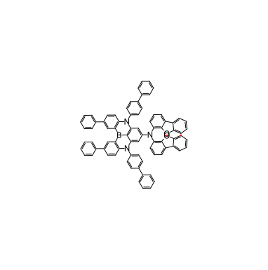 c1ccc(-c2ccc(N3c4ccc(-c5ccccc5)cc4B4c5cc(-c6ccccc6)ccc5N(c5ccc(-c6ccccc6)cc5)c5cc(N(c6cccc7c6oc6ccccc67)c6cccc7c6oc6ccccc67)cc3c54)cc2)cc1